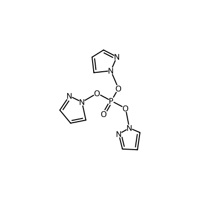 O=P(On1cccn1)(On1cccn1)On1cccn1